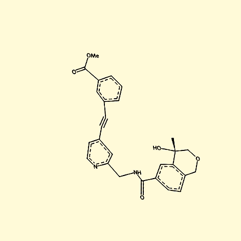 COC(=O)c1cccc(C#Cc2ccnc(CNC(=O)c3ccc4c(c3)[C@](C)(O)COC4)c2)c1